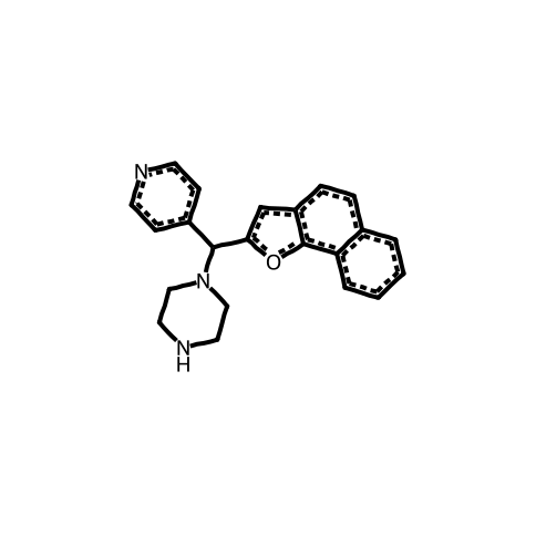 c1ccc2c(c1)ccc1cc(C(c3ccncc3)N3CCNCC3)oc12